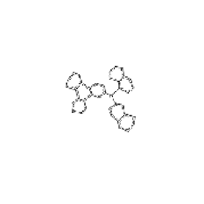 c1ccc2cc(N(c3ccc4c5ccccc5c5ccccc5c4c3)c3cccc4ccccc34)ccc2c1